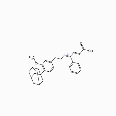 COc1cc(CC/C=C(/C=CC(=O)O)c2ccccc2)ccc1C12CC3CC(CC(C3)C1)C2